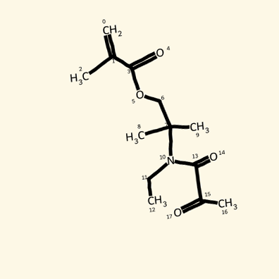 C=C(C)C(=O)OCC(C)(C)N(CC)C(=O)C(C)=O